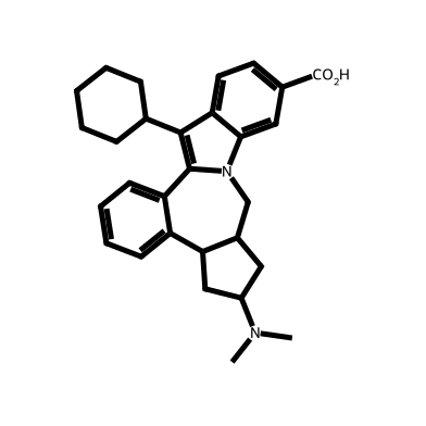 CN(C)C1CC2Cn3c(c(C4CCCCC4)c4ccc(C(=O)O)cc43)-c3ccccc3C2C1